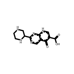 O=C(O)c1c[nH]c2nc(C3CNCCN3)ncc2c1=O